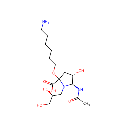 CC(=O)N[C@@H]1[C@@H](O)CC(OCCCCCCN)(C(=O)O)N1C[C@H](O)CO